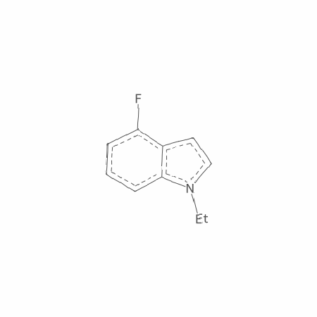 CCn1ccc2c(F)cccc21